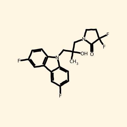 CC(O)(CN1CCC(F)(F)C1=O)Cn1c2ccc(F)cc2c2cc(F)ccc21